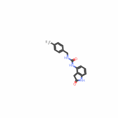 O=C1Cc2c(cccc2NC(=O)NCc2ccc(C(F)(F)F)cc2)N1